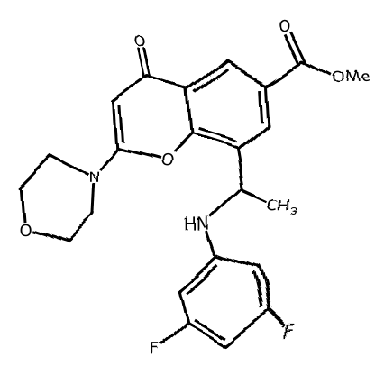 COC(=O)c1cc(C(C)Nc2cc(F)cc(F)c2)c2oc(N3CCOCC3)cc(=O)c2c1